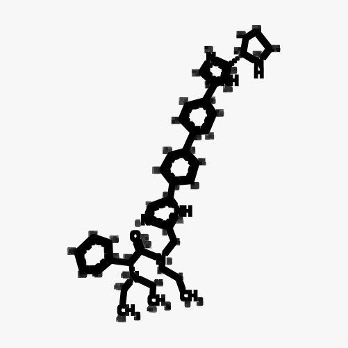 CCCN(Cc1ncc(-c2ccc(-c3ccc(-c4cnc([C@@H]5CCCN5)[nH]4)cc3)cc2)[nH]1)C(=O)[C@@H](c1ccccc1)N(CC)CC